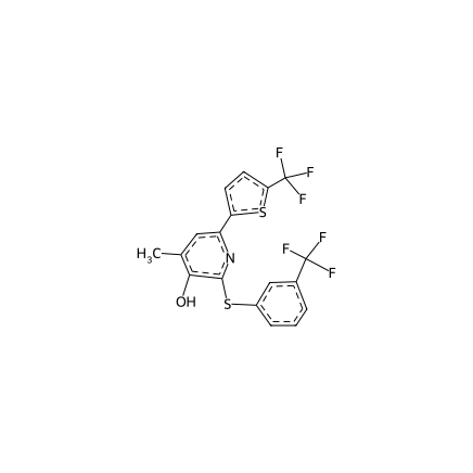 Cc1cc(-c2ccc(C(F)(F)F)s2)nc(Sc2cccc(C(F)(F)F)c2)c1O